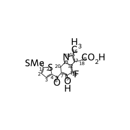 CSc1ccc(C(=O)C2=C(O)C(F)=C3C(=NC(C)=C3CC(=O)O)C2)s1